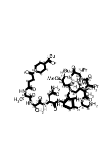 CCC(C)C(=O)C1CCN(C(=O)CCC(=O)N[C@@H](C)C(=O)N[C@@H](C)C(=O)N[C@@H](CC(N)=O)C(=O)Nc2ccc(C[C@@H](CN)NC(=O)[C@H](C)[C@@H](OC)[C@@H]3CCCN3C(=O)C[C@@H](OC)[C@H]([C@@H](C)CC)N(C)C(=O)[C@@H](NC(=O)C(C(C)C)N(C)C)C(C)C)cc2)CC1